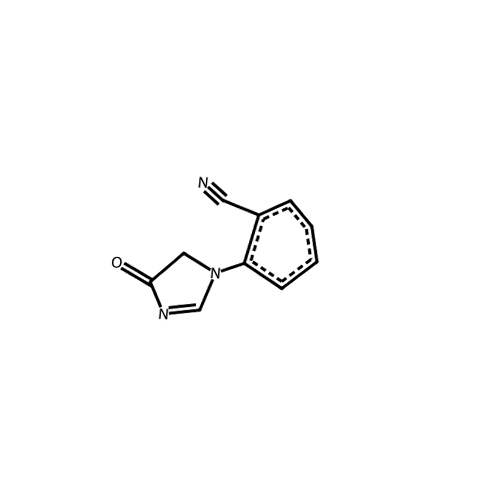 N#Cc1ccccc1N1C=NC(=O)C1